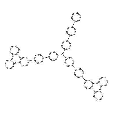 c1ccc(-c2ccc(-c3ccc(N(c4ccc(-c5ccc(-c6ccc7c8ccccc8c8ccccc8c7c6)cc5)cc4)c4ccc(-c5ccc(-c6ccc7c8ccccc8c8ccccc8c7c6)cc5)cc4)cc3)cc2)cc1